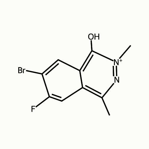 Cc1n[n+](C)c(O)c2cc(Br)c(F)cc12